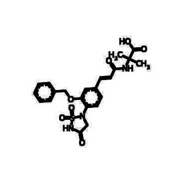 CC(C)(NC(=O)C=Cc1ccc(N2CC(=O)NS2(=O)=O)c(OCc2ccccc2)c1)C(=O)O